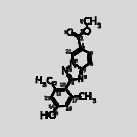 COC(=O)c1ccc2nc(-c3c(C)cc(O)cc3C)nn2c1